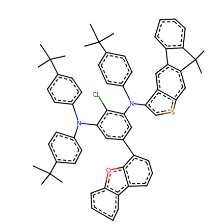 CC(C)(C)c1ccc(N(c2ccc(C(C)(C)C)cc2)c2cc(-c3cccc4c3oc3ccccc34)cc(N(c3ccc(C(C)(C)C)cc3)c3csc4cc5c(cc34)-c3ccccc3C5(C)C)c2Cl)cc1